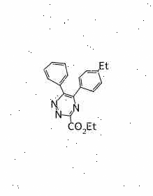 CCOC(=O)c1nnc(-c2ccccc2)c(-c2ccc(CC)cc2)n1